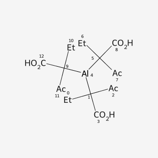 CC[C](C(C)=O)(C(=O)O)[Al]([C](CC)(C(C)=O)C(=O)O)[C](CC)(C(C)=O)C(=O)O